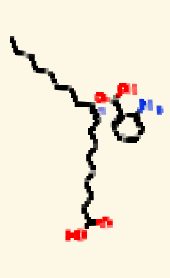 CCCCCCCC/C=C\CCCCCCCC(=O)O.Nc1ccccc1C(=O)O